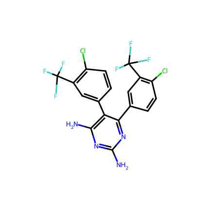 Nc1nc(N)c(-c2ccc(Cl)c(C(F)(F)F)c2)c(-c2ccc(Cl)c(C(F)(F)F)c2)n1